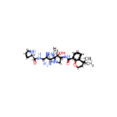 CC1(C)CCOc2c(C(=O)NC3CN[C@@](N)([C@@H](N)C(N)CNC(=O)[C@H]4CCCN4)[C@]3(C)O)cccc21